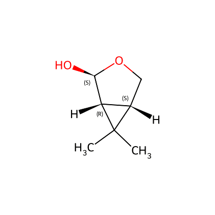 CC1(C)[C@@H]2[C@@H](O)OC[C@@H]21